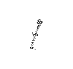 CCCCCCCCCCCCCNC(=O)NCCCCCCOCc1ccc2ccc3cccc4ccc1c2c34